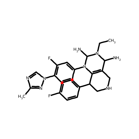 CCN1C(N)C2=C(C(c3ccc(F)cc3)CNC2)N(c2ccc(-n3cnc(C)n3)c(F)c2)C1N